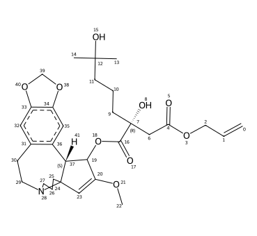 C=CCOC(=O)C[C@](O)(CCCC(C)(C)O)C(=O)OC1C(OC)=CC23CCCN2CCc2cc4c(cc2[C@H]13)OCO4